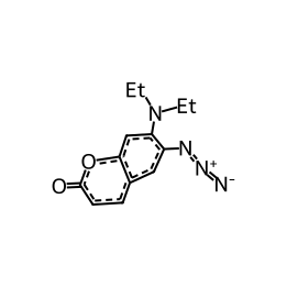 CCN(CC)c1cc2oc(=O)ccc2cc1N=[N+]=[N-]